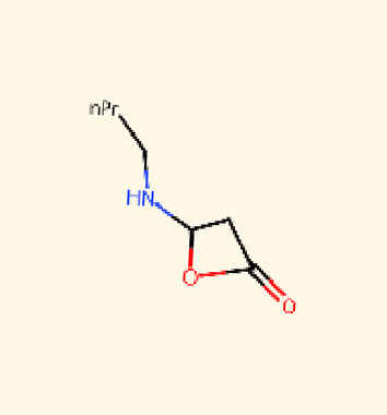 CCCCNC1CC(=O)O1